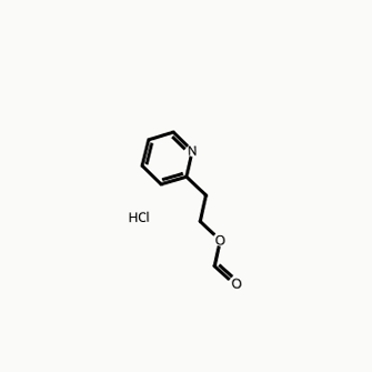 Cl.O=COCCc1ccccn1